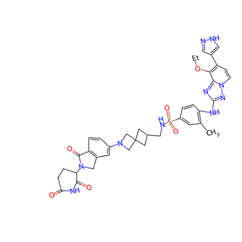 CCOc1c(-c2cn[nH]c2)ccn2nc(Nc3ccc(S(=O)(=O)NCC4CC5(C4)CN(c4ccc6c(c4)CN(C4CCC(=O)NC4=O)C6=O)C5)cc3C)nc12